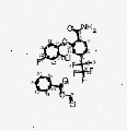 NC(=O)c1ccc(C(F)(F)C(F)(F)F)cc1Oc1ccc(F)cc1Cl.O=COC(=O)c1ccccc1